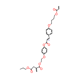 C=CC(=O)OCCCCOc1ccc(/C=C/C(=O)Oc2ccc(OCCOC(=O)C(=C)CC(=O)OCCC)cc2)cc1